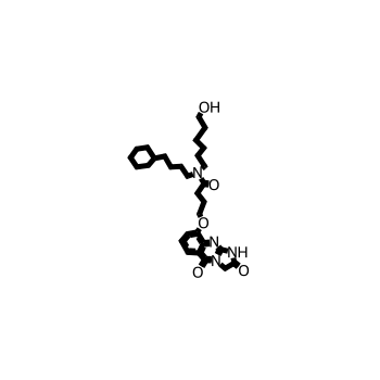 O=C1Cn2c(nc3c(OCCCC(=O)N(CCCCCCO)CCCCC4CCCCC4)cccc3c2=O)N1